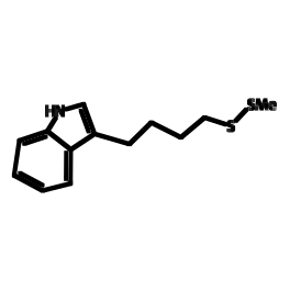 CSSCCCCc1c[nH]c2ccccc12